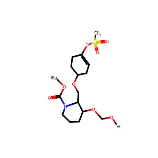 CCOCOC1CCCN(C(=O)OC(C)(C)C)C1COC1CC=C(OS(=O)(=O)C(F)(F)F)CC1